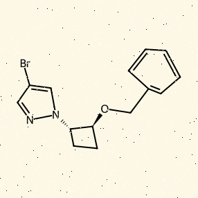 Brc1cnn([C@H]2CC[C@@H]2OCc2ccccc2)c1